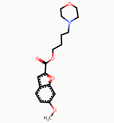 COc1ccc2cc(C(=O)OCCCCN3CCOCC3)oc2c1